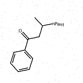 CCCCCC(C)CC(=O)c1ccccc1